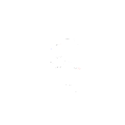 CCCCC(CC)COC(=O)Nc1ccc(C)c(NC(=O)OCC(CC)CCCC)c1